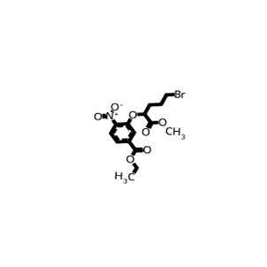 CCOC(=O)c1ccc([N+](=O)[O-])c(OC(CCCBr)C(=O)OC)c1